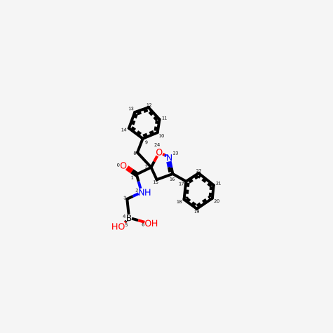 O=C(NCB(O)O)C1(Cc2ccccc2)CC(c2ccccc2)=NO1